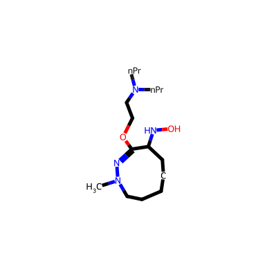 CCCN(CCC)CCO/C1=N/N(C)CCCCCC1NO